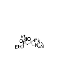 CCOP(=O)(CC(O)(Cn1cncn1)C(C)C)OCC